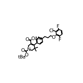 COC(=O)C1=C(c2ccc(CCCOc3c(F)ccc(F)c3Cl)cc2)C(C)(C)CN(C(=O)OC(C)(C)C)C1